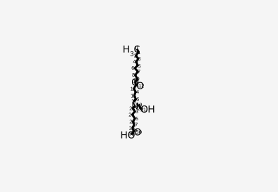 CCCCCCCCCCOC(=O)CCCCCN(CCO)CCCCCCCC(=O)O